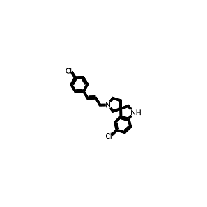 Clc1ccc(C=CCN2CCC3(CNc4ccc(Cl)cc43)C2)cc1